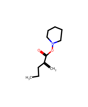 C=C(CCC)C(=O)ON1CCCCC1